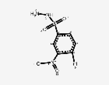 NNS(=O)(=O)c1ccc(Cl)c([N+](=O)[O-])c1